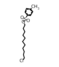 Cc1ccc(S(=O)(=O)OCCCCCCCCCCCCl)cc1